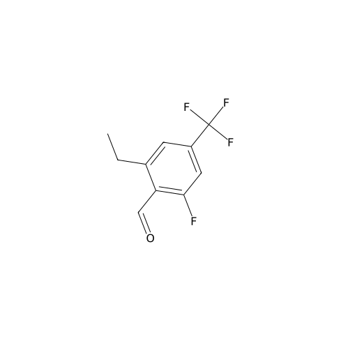 CCc1cc(C(F)(F)F)cc(F)c1C=O